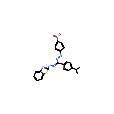 CC(C)c1ccc(C(N=Nc2ccc([N+](=O)[O-])cc2)=NNc2nc3ccccc3s2)cc1